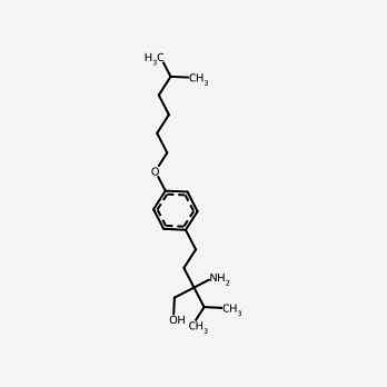 CC(C)CCCCOc1ccc(CCC(N)(CO)C(C)C)cc1